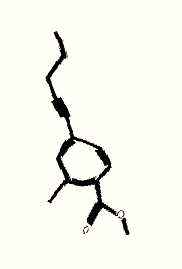 CCCC#Cc1ccc(C(=O)OC)c(C)c1